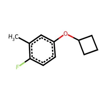 Cc1cc(OC2CCC2)ccc1F